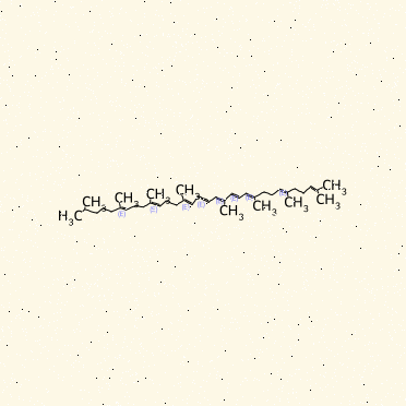 CC(C)=CCC/C(C)=C/CC/C(C)=C/C=C/C(C)=C/C=C/C=C(\C)CC/C=C(\C)CC/C=C(\C)CCCC(C)C